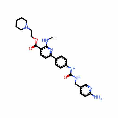 CCNc1nc(-c2ccc(NC(=O)NCc3ccc(N)nc3)cc2)ccc1C(=O)OCCN1CCCCC1